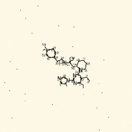 CCc1c(C)nc(-n2ccnc2)nc1N1CCCCC1CC(=O)NCCc1ccc(C)cc1